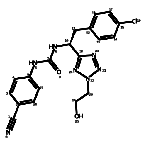 N#Cc1ccc(NC(=O)N[C@@H](Cc2ccc(Cl)cc2)c2nnn(CCO)n2)cc1